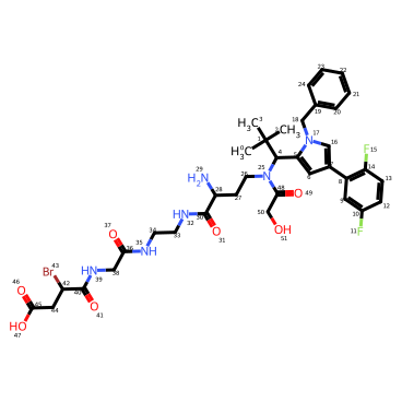 CC(C)(C)C(c1cc(-c2cc(F)ccc2F)cn1Cc1ccccc1)N(CCC(N)C(=O)NCCNC(=O)CNC(=O)C(Br)CC(=O)O)C(=O)CO